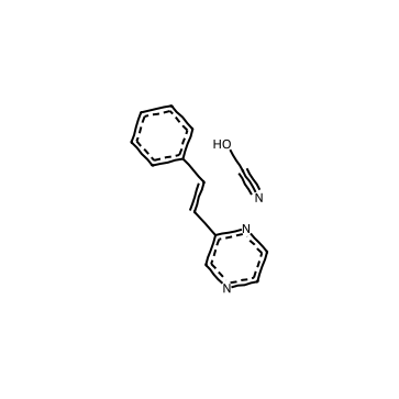 C(=Cc1cnccn1)c1ccccc1.N#CO